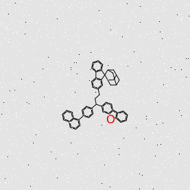 c1ccc2c(c1)-c1ccc(CCC(c3ccc(-c4cccc5ccccc45)cc3)c3ccc4c(c3)oc3ccccc34)cc1C21C2CC3CC(C2)CC1C3